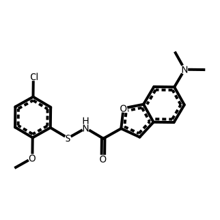 COc1ccc(Cl)cc1SNC(=O)c1cc2ccc(N(C)C)cc2o1